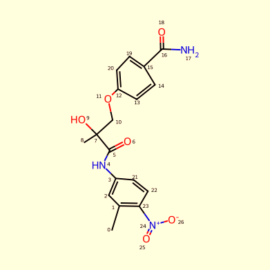 Cc1cc(NC(=O)C(C)(O)COc2ccc(C(N)=O)cc2)ccc1[N+](=O)[O-]